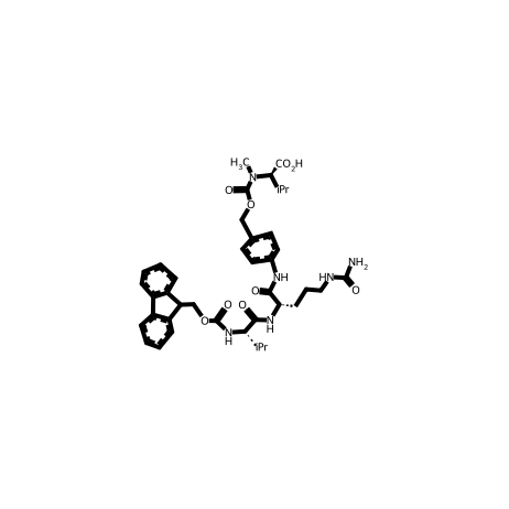 CC(C)[C@H](NC(=O)OCC1c2ccccc2-c2ccccc21)C(=O)N[C@@H](CCCNC(N)=O)C(=O)Nc1ccc(COC(=O)N(C)[C@@H](C(=O)O)C(C)C)cc1